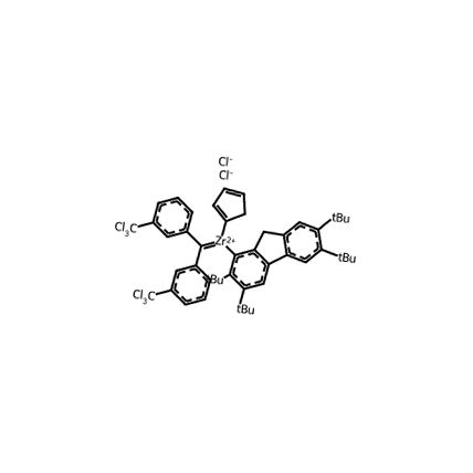 CC(C)(C)c1cc2c(cc1C(C)(C)C)-c1cc(C(C)(C)C)c(C(C)(C)C)[c]([Zr+2]([C]3=CC=CC3)=[C](c3cccc(C(Cl)(Cl)Cl)c3)c3cccc(C(Cl)(Cl)Cl)c3)c1C2.[Cl-].[Cl-]